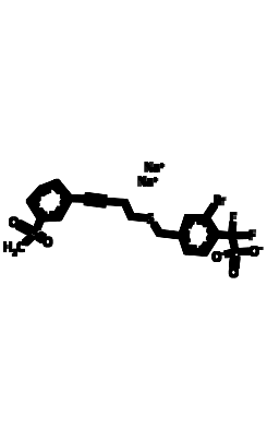 CS(=O)(=O)c1cccc(C#CCCSCc2ccc(C(F)(F)P(=O)([O-])[O-])c(Br)c2)c1.[Na+].[Na+]